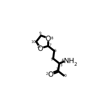 CC(=O)C(N)CCC1OCCO1